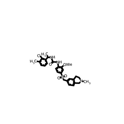 COc1cc(S(=O)(=O)Cc2ccc3c(c2)CCN(C)C3)ccc1NC(=O)NC(C)c1cccc(C)c1Cl